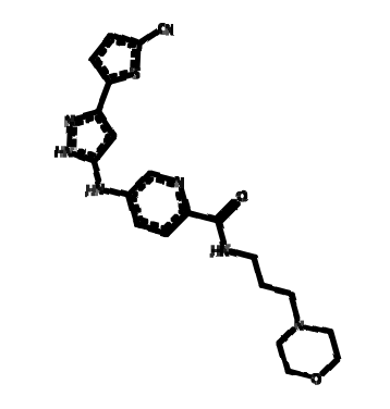 N#Cc1ccc(-c2cc(Nc3ccc(C(=O)NCCCN4CCOCC4)nc3)[nH]n2)s1